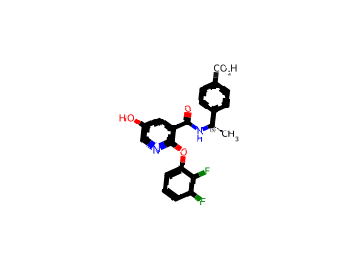 C[C@H](NC(=O)c1cc(O)cnc1OC1=CC=CC(F)C1F)c1ccc(C(=O)O)cc1